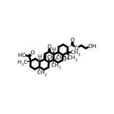 CC1(C)[C@@H](C(=O)OCCO)CC[C@]2(C)[C@H]3C(=O)C=C4[C@@H]5C[C@@](C)(C(=O)O)CC[C@]5(C)CC[C@@]4(C)[C@]3(C)CC[C@@H]12